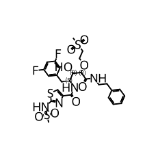 CS(=O)(=O)CCO[C@@H](C(=O)NCCc1ccccc1)[C@H](O)[C@H](Cc1cc(F)cc(F)c1)NC(=O)c1csc(NS(C)(=O)=O)n1